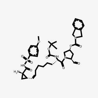 COc1ccc(S(=O)(=O)NC(=O)[C@@]2(N)C[C@H]2/C=C\CCCCC[C@H](NC(=O)OC(C)(C)C)C(=O)N2C[C@H](OC(=O)N3Cc4ccccc4C3)C[C@H]2C=O)cc1